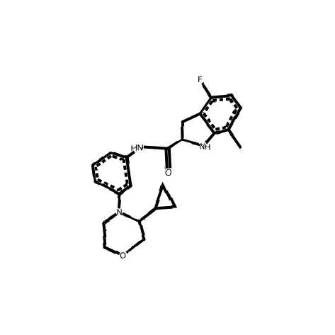 Cc1ccc(F)c2c1NC(C(=O)Nc1cccc(N3CCOCC3C3CC3)c1)C2